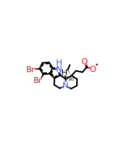 CC[C@]1(CCC(=O)OC)CCCN2CCc3c([nH]c4ccc(Br)c(Br)c34)[C@@H]21